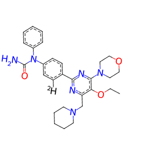 [2H]c1cc(N(C(N)=O)c2ccccc2)ccc1-c1nc(CN2CCCCC2)c(OCC)c(N2CCOCC2)n1